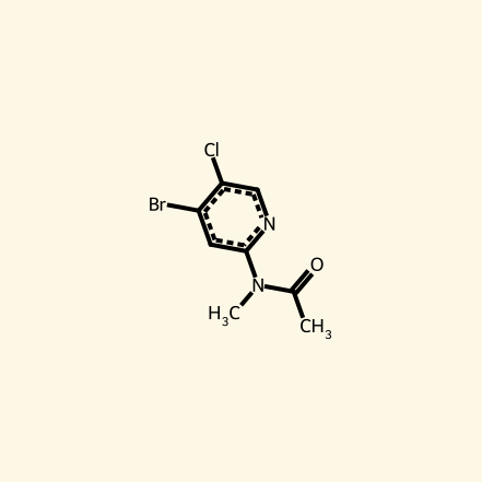 CC(=O)N(C)c1cc(Br)c(Cl)cn1